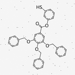 O=C(Oc1cccc(S)c1)c1cc(OCc2ccccc2)c(OCc2ccccc2)c(OCc2ccccc2)c1